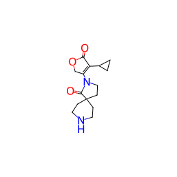 O=C1OCC(N2CCC3(CCNCC3)C2=O)=C1C1CC1